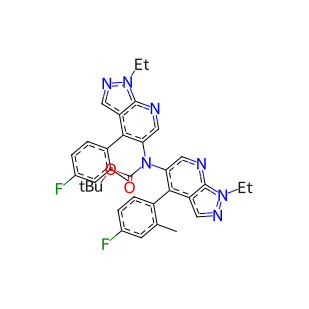 CCn1ncc2c(-c3ccc(F)cc3C)c(N(C(=O)OC(C)(C)C)c3cnc4c(cnn4CC)c3-c3ccc(F)cc3C)cnc21